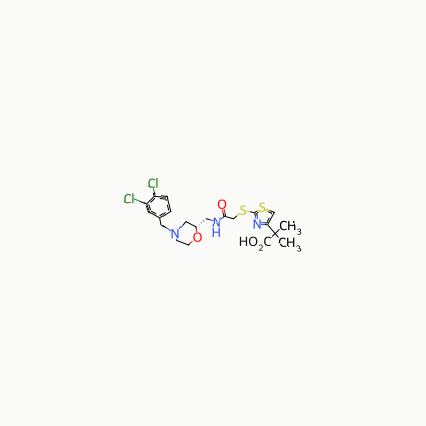 CC(C)(C(=O)O)c1csc(SCC(=O)NC[C@H]2CN(Cc3ccc(Cl)c(Cl)c3)CCO2)n1